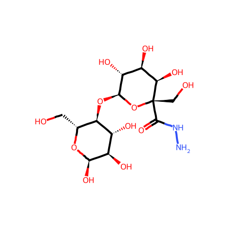 NNC(=O)[C@]1(CO)O[C@@H](O[C@H]2[C@H](O)[C@@H](O)[C@@H](O)O[C@@H]2CO)[C@H](O)[C@@H](O)[C@H]1O